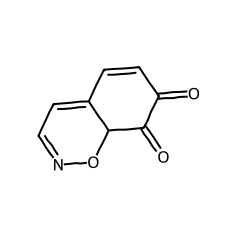 O=C1C=CC2=CC=NOC2C1=O